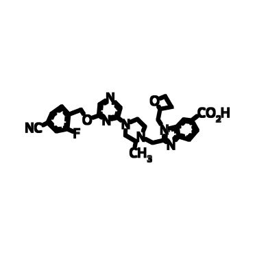 CC1CN(c2cncc(OCc3ccc(C#N)cc3F)n2)CCN1Cc1nc2ccc(C(=O)O)cc2n1CC1CCO1